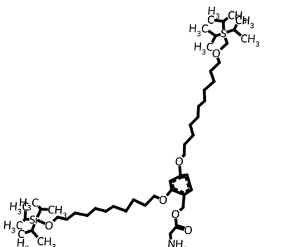 CC(C)[Si](OCCCCCCCCCCCOc1cc(OCCCCCCCCCCCOCS(C(C)C)(C(C)C)C(C)C)ccc1COC(=O)CN)(C(C)C)C(C)C